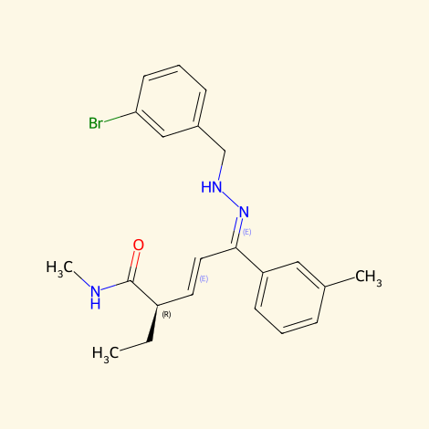 CC[C@H](/C=C/C(=N\NCc1cccc(Br)c1)c1cccc(C)c1)C(=O)NC